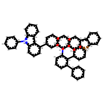 c1ccc(-c2ccccc2-c2c(-c3ccccc3)cccc2N(c2cccc(-c3cccc4c3c3ccccc3n4-c3ccccc3)c2)c2ccc3c(c2)sc2ccccc23)cc1